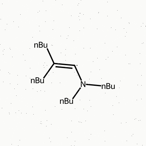 CCCCC(=[C]N(CCCC)CCCC)CCCC